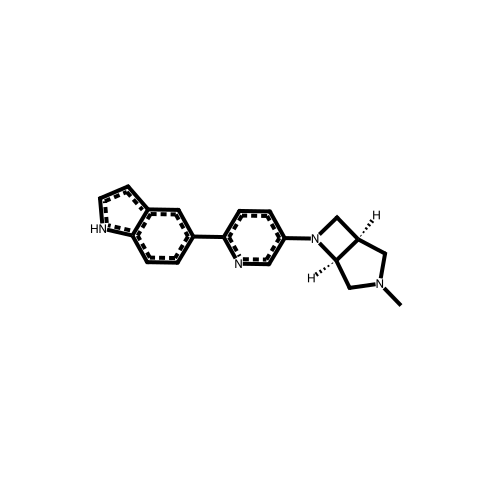 CN1C[C@@H]2CN(c3ccc(-c4ccc5[nH]ccc5c4)nc3)[C@@H]2C1